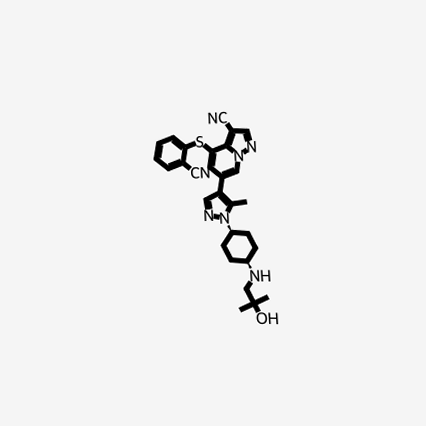 Cc1c(-c2cc(Sc3ccccc3C#N)c3c(C#N)cnn3c2)cnn1[C@H]1CC[C@@H](NCC(C)(C)O)CC1